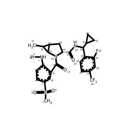 CC(C)Nc1ccc(S(C)(=O)=O)cc1C(=O)N1C2C(C)C2C[C@@H]1C(=O)NC(c1ccc(C(F)(F)F)cc1F)C1CC1